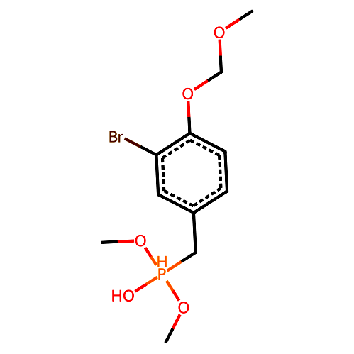 COCOc1ccc(C[PH](O)(OC)OC)cc1Br